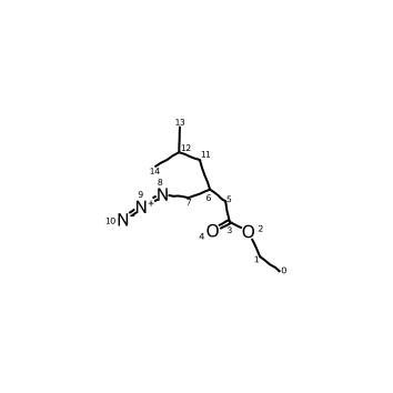 CCOC(=O)CC(CN=[N+]=[N-])CC(C)C